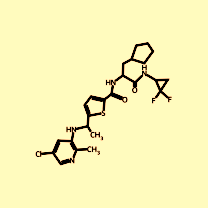 Cc1ncc(Cl)cc1NC(C)c1ccc(C(=O)NC(CC2CCCC2)C(=O)NC2CC2(F)F)s1